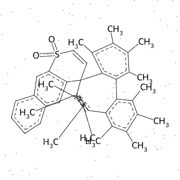 Cc1c(C)c(C)c2c(c1C)-c1c(C)c(C)c(C)c(C)c1C1(C=CS(=O)(=O)c3cc4ccccc4cc31)c1c(C)c(C)c(C)c(C)c1-2